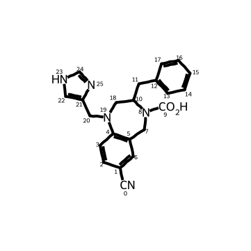 N#Cc1ccc2c(c1)CN(C(=O)O)C(Cc1ccccc1)CN2Cc1c[nH]cn1